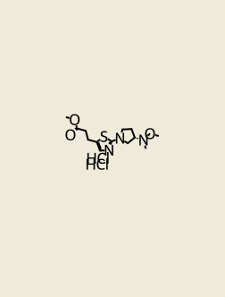 COC(=O)CCc1cnc(N2CC[C@H](N(C)OC)C2)s1.Cl.Cl